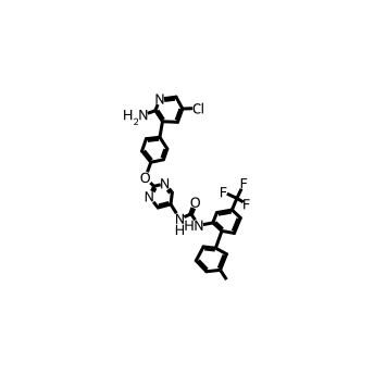 Cc1cccc(-c2ccc(C(F)(F)F)cc2NC(=O)Nc2cnc(Oc3ccc(-c4cc(Cl)cnc4N)cc3)nc2)c1